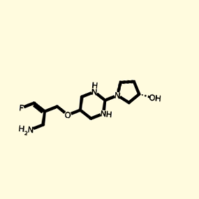 NC/C(=C\F)COC1CNC(N2CC[C@H](O)C2)NC1